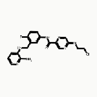 Nc1ncccc1NCc1cc(NC(=O)c2cnc(OCCCl)cn2)ccc1F